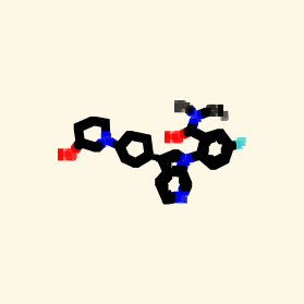 CC(C)N(C)C(O)c1cc(F)ccc1-n1cc([C@H]2CC[C@H](N3CCCC(O)C3)CC2)c2ccncc21